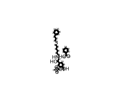 CS(=O)(=O)Nc1cc(C(O)CNCCCCCCSCCCc2ccccc2)ccc1O.O=C(O)c1ccccc1